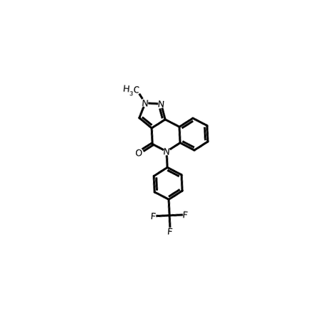 Cn1cc2c(=O)n(-c3ccc(C(F)(F)F)cc3)c3ccccc3c2n1